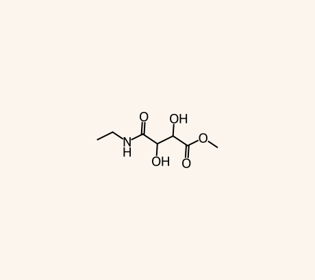 CCNC(=O)C(O)C(O)C(=O)OC